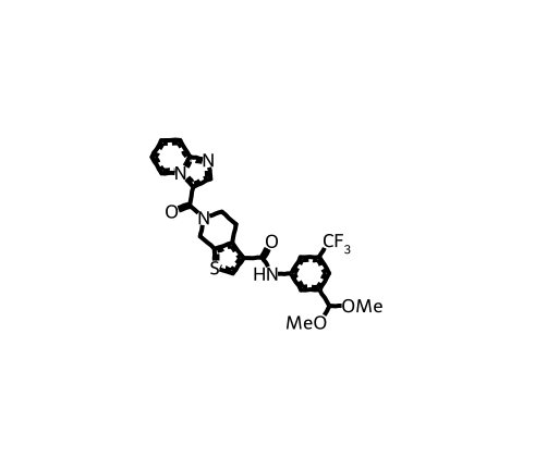 COC(OC)c1cc(NC(=O)c2csc3c2CCN(C(=O)c2cnc4ccccn24)C3)cc(C(F)(F)F)c1